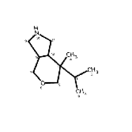 CC(C)C1(C)COCC2CNCC21